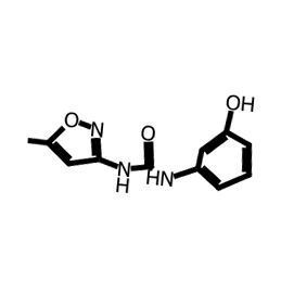 Cc1cc(NC(=O)Nc2cccc(O)c2)no1